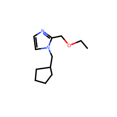 CCOCc1nccn1CC1CCCC1